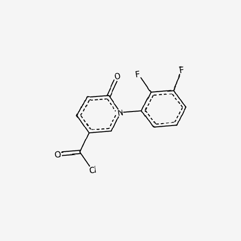 O=C(Cl)c1ccc(=O)n(-c2cccc(F)c2F)c1